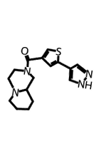 O=C(c1csc(-c2cn[nH]c2)c1)N1CCN2CCCCC2C1